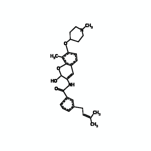 CC(C)=CCc1cccc(C(=O)NC2=Cc3ccc(OC4CCN(C)CC4)c(C)c3OC2O)c1